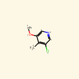 CCCOc1cncc(Cl)c1C(F)(F)F